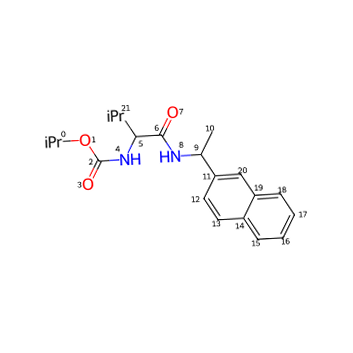 CC(C)OC(=O)NC(C(=O)NC(C)c1ccc2ccccc2c1)C(C)C